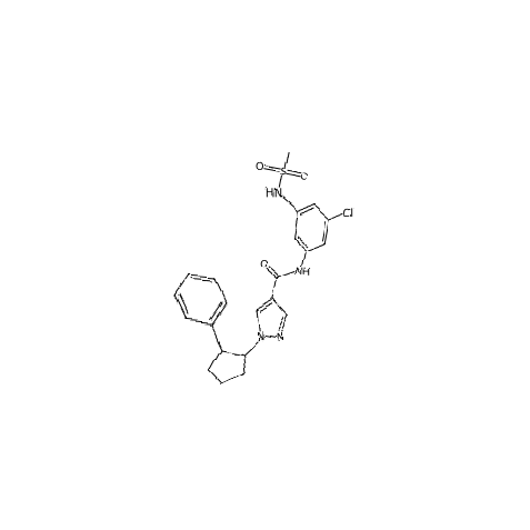 CS(=O)(=O)Nc1cc(Cl)cc(NC(=O)c2cnn(C3CCCC3c3ccccc3)c2)c1